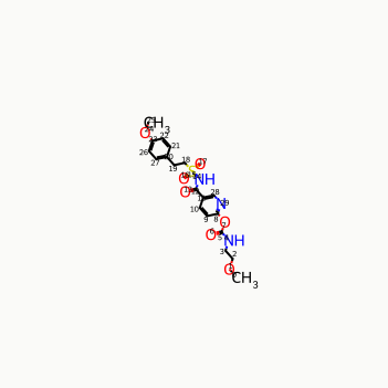 COCCNC(=O)Oc1ccc(C(=O)NS(=O)(=O)CCc2ccc(OC)cc2)cn1